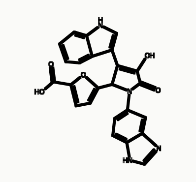 O=C(O)c1ccc(C2C(c3c[nH]c4ccccc34)=C(O)C(=O)N2c2ccc3[nH]cnc3c2)o1